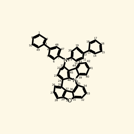 c1ccc(-c2ccc(N(c3ccc(-c4ccccc4)cc3)c3ccc4c5cccc6oc7cccc(c7c65)n5c6ccccc6c3c45)cc2)cc1